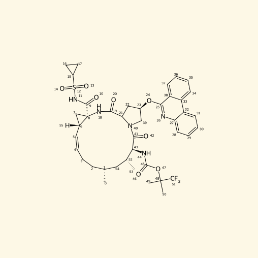 C[C@@H]1CC/C=C\[C@@H]2C[C@@]2(C(=O)NS(=O)(=O)C2CC2)NC(=O)C2C[C@@H](Oc3nc4ccccc4c4ccccc34)CN2C(=O)[C@@H](NC(=O)OC(C)(C)C(F)(F)F)[C@H](C)C1